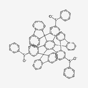 [O-][S+](c1ccccc1)c1ccc2c(c1)C1(c3ccccc3-c3ccccc31)c1c-2c2c(c3c1-c1ccc([S+]([O-])c4ccccc4)cc1C31c3ccccc3-c3ccccc31)-c1ccc([S+]([O-])c3ccccc3)cc1C21c2ccccc2-c2ccccc21